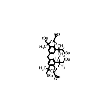 CC(C)(C)CC(C)(C)c1cc(Cc2cc(C(C)(C)CC(C)(C)C)c(OCC3CO3)c(C(C)(C)CC(C)(C)C)c2)cc(C(C)(C)CC(C)(C)C)c1OCC1CO1